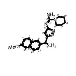 COc1ccc2cc(C(C)c3cc(/N=C(/N)N4CCCCC4)no3)ccc2c1